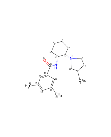 CC(=O)OC1CCN([C@H]2CCCC[C@H]2NC(=O)c2cc(C)cc(C)c2)C1